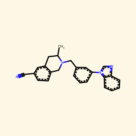 CC1Cc2cc(C#N)ccc2CN1Cc1cccc(-n2cnc3ccccc32)c1